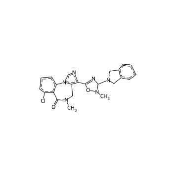 CN1Cc2c(C3=NC(N4Cc5ccccc5C4)N(C)O3)ncn2-c2cccc(Cl)c2C1=O